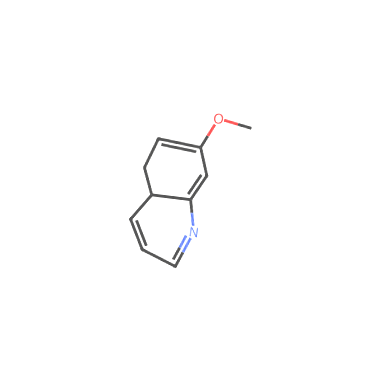 COC1=CCC2C=CC=NC2=C1